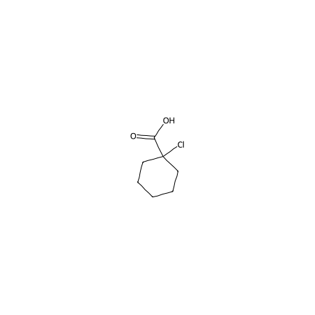 O=C(O)C1(Cl)CCCCC1